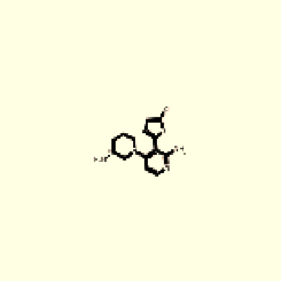 Nc1nccc(N2CCC[C@@H](N)C2)c1-c1ccc(Cl)s1